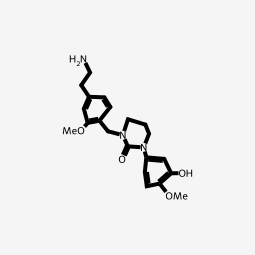 COc1ccc(N2CCCN(Cc3ccc(CCN)cc3OC)C2=O)cc1O